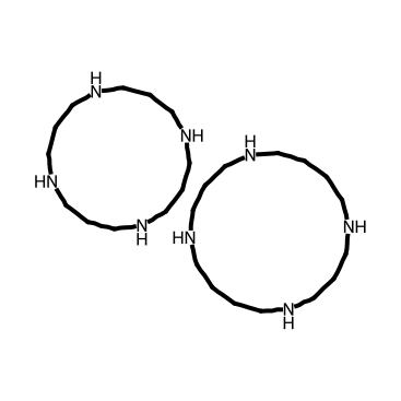 C1CCNCCCNCCCCNCCCNC1.C1CNCCCNCCCNCCCNC1